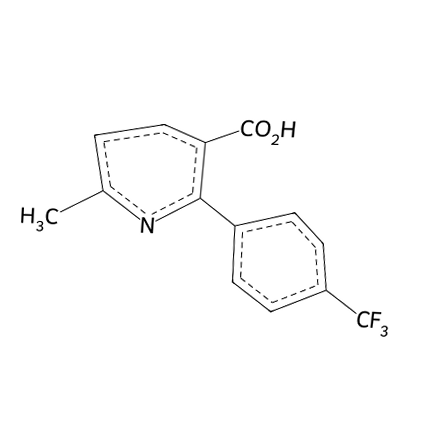 Cc1ccc(C(=O)O)c(-c2ccc(C(F)(F)F)cc2)n1